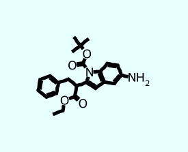 CCOC(=O)C(Cc1ccccc1)c1cc2cc(N)ccc2n1C(=O)OC(C)(C)C